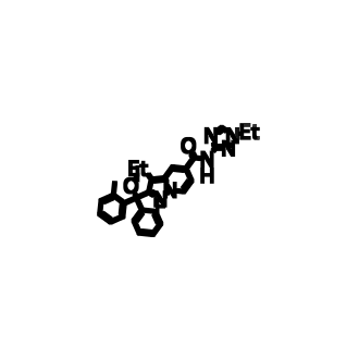 CCc1c(C(OI)(c2ccccc2C)c2ccccc2F)nn2ccc(C(=O)Nc3ncn(CC)n3)cc12